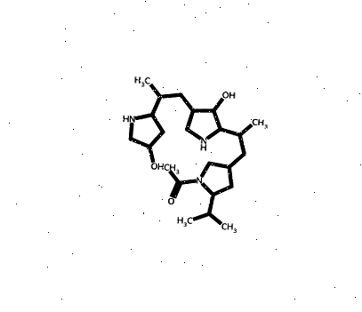 CC(=O)N1CC(CC(C)C2NCC(CC(C)C3CC(O)CN3)C2O)CC1C(C)C